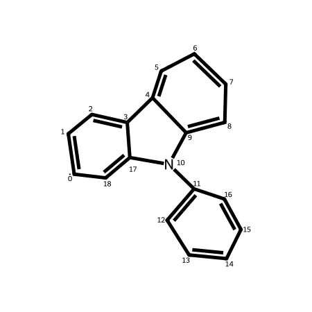 [c]1ccc2c3ccccc3n(-c3ccccc3)c2c1